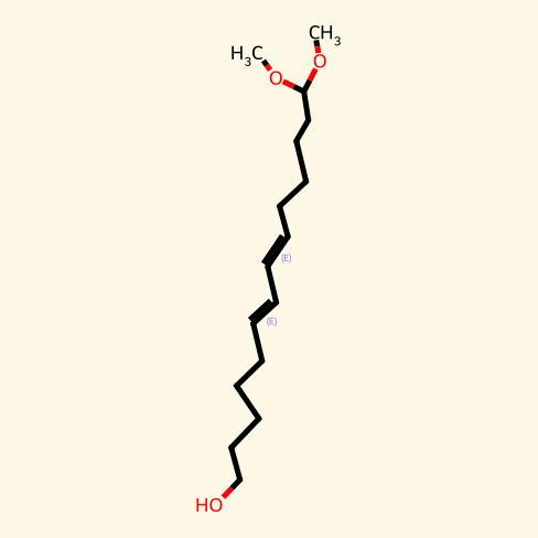 COC(CCCC/C=C/C=C/CCCCCO)OC